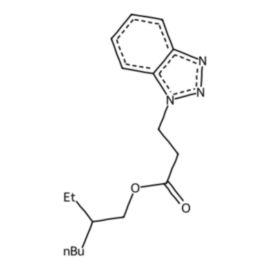 CCCCC(CC)COC(=O)CCn1nnc2ccccc21